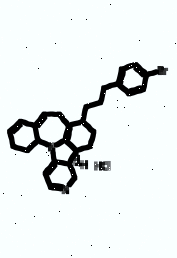 Brc1ccc(CCCC2CC[C@H]3C4=C2CC=C2C=CCCC2N4C2=CC=NC[C@@H]23)cc1.Cl